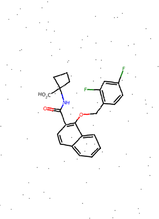 O=C(NC1(C(=O)O)CCC1)c1ccc2ccccc2c1OCc1ccc(F)cc1F